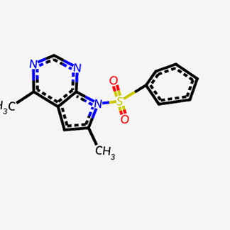 Cc1ncnc2c1cc(C)n2S(=O)(=O)c1ccccc1